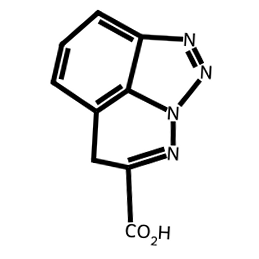 O=C(O)C1=Nn2nnc3cccc(c32)C1